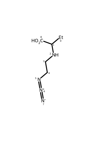 CCC(NCCN=[N+]=[N-])C(=O)O